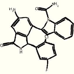 NC(=O)n1c(-c2cc(N)cc3c2C(c2cc(F)ccc2Cl)NC3=O)cc2ccccc21